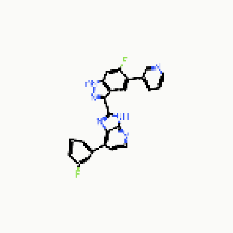 Fc1cccc(-c2ccnc3[nH]c(-c4n[nH]c5cc(F)c(-c6cccnc6)cc45)nc23)c1